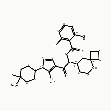 CC1(C(=O)O)CCC(n2ncc(C(=O)N(CC(=O)c3c(Cl)cccc3Cl)[C@@H]3CCOC4(CCC4)C3)c2C(F)(F)F)CC1